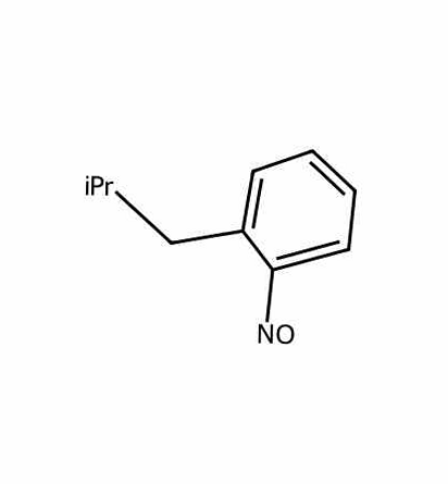 CC(C)Cc1ccccc1N=O